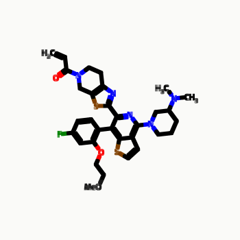 C=CC(=O)N1CCc2nc(-c3nc(N4CCCC(N(C)C)C4)c4ccsc4c3-c3ccc(F)cc3OCCOC)sc2C1